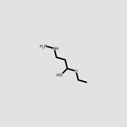 CCOC(O)CCNN